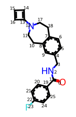 O=C(NCc1ccc2c(c1)CCN(C1=CC=C1)CC2)c1ccc(F)cc1